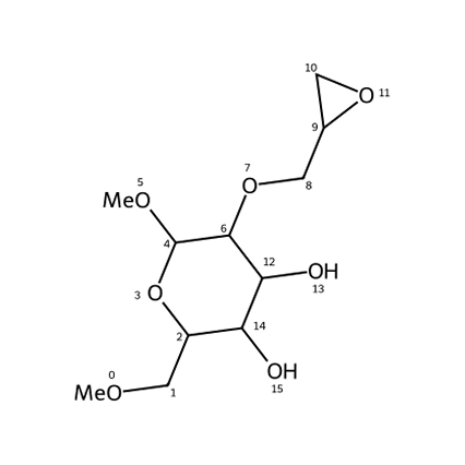 COCC1OC(OC)C(OCC2CO2)C(O)C1O